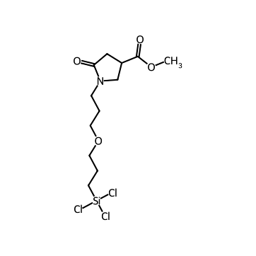 COC(=O)C1CC(=O)N(CCCOCCC[Si](Cl)(Cl)Cl)C1